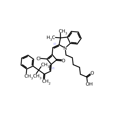 C=C(/C=C1/C(=O)C(/C=C2\N(CCCCCC(=O)O)c3ccccc3C2(C)C)=C1Cl)C(C)(C)c1ccccc1C